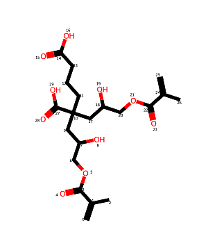 C=C(C)C(=O)OCC(O)CC(CCCC(=O)O)(CC(O)COC(=O)C(=C)C)C(=O)O